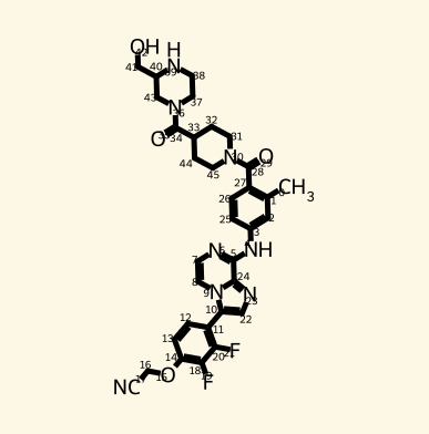 Cc1cc(Nc2nccn3c(-c4ccc(OCC#N)c(F)c4F)cnc23)ccc1C(=O)N1CCC(C(=O)N2CCNC(CO)C2)CC1